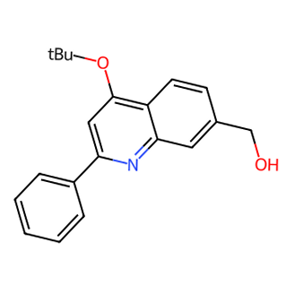 CC(C)(C)Oc1cc(-c2ccccc2)nc2cc(CO)ccc12